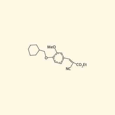 CCOC(=O)/C(C#N)=C/c1ccc(OCC2CCCCC2)c(OC)c1